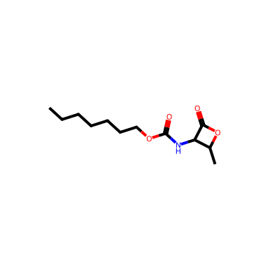 CCCCCCCOC(=O)NC1C(=O)OC1C